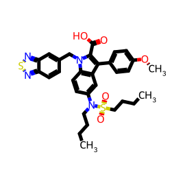 CCCCN(c1ccc2c(c1)c(-c1ccc(OC)cc1)c(C(=O)O)n2Cc1ccc2nsnc2c1)S(=O)(=O)CCCC